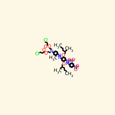 CCCCC(CC)COc1cc(/N=N/c2ccc([N+](=O)[O-])cc2[N+](=O)[O-])c(OCC(CC)CCCC)cc1/N=N/c1ccc(N(CCOC(=O)CCCl)CCOC(=O)CCCl)cc1C